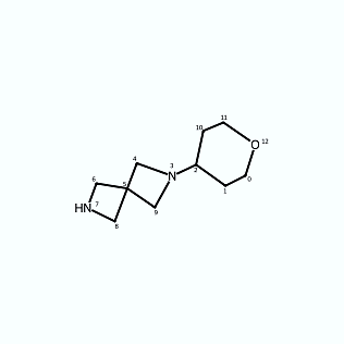 C1CC(N2CC3(CNC3)C2)CCO1